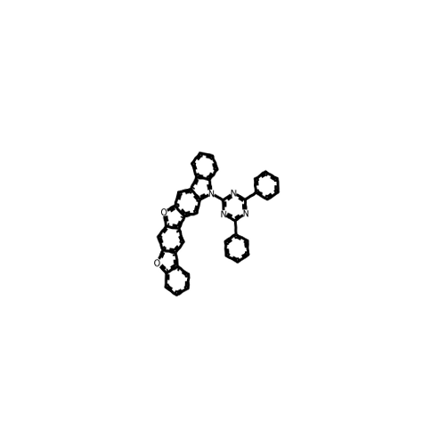 c1ccc(-c2nc(-c3ccccc3)nc(-n3c4ccccc4c4cc5oc6cc7oc8ccccc8c7cc6c5cc43)n2)cc1